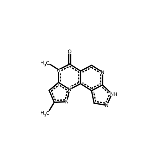 Cc1cc2n(C)c(=O)c3cnc4[nH]ncc4c3n2n1